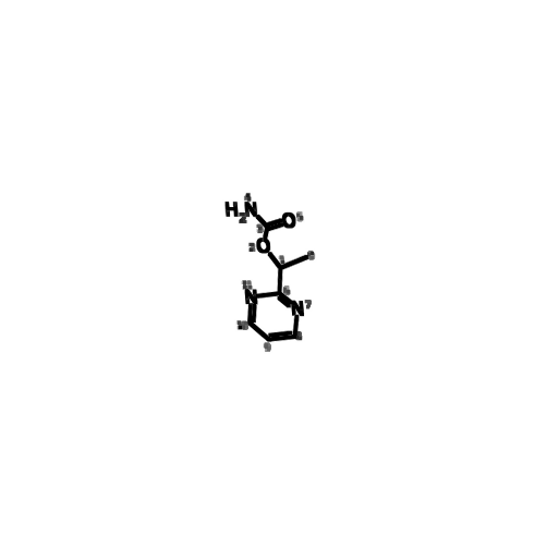 CC(OC(N)=O)c1ncccn1